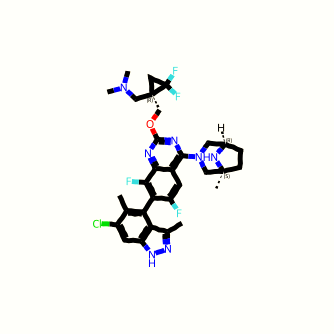 Cc1c(Cl)cc2[nH]nc(C)c2c1-c1c(F)cc2c(N3C[C@H]4CC[C@@](C)(C3)N4)nc(OC[C@]3(CN(C)C)CC3(F)F)nc2c1F